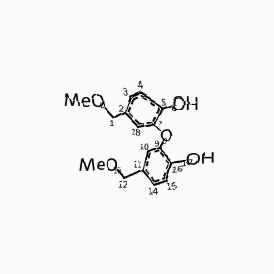 COCc1ccc(O)c(Oc2cc(COC)ccc2O)c1